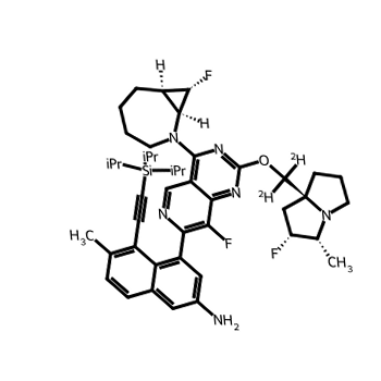 [2H]C([2H])(Oc1nc(N2CCCC[C@H]3[C@H](F)[C@H]32)c2cnc(-c3cc(N)cc4ccc(C)c(C#C[Si](C(C)C)(C(C)C)C(C)C)c34)c(F)c2n1)[C@@]12CCCN1[C@H](C)[C@H](F)C2